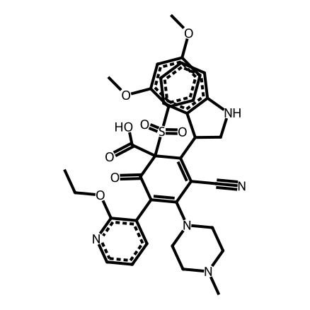 CCOc1ncccc1C1=C(N2CCN(C)CC2)C(C#N)=C(C2CNc3ccccc32)C(C(=O)O)(S(=O)(=O)c2ccc(OC)cc2OC)C1=O